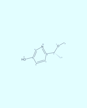 CO[C@H](C)c1ccc(O)cn1